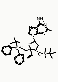 C=C[C@]1(CO[Si](c2ccccc2)(c2ccccc2)C(C)(C)C)O[C@@H](n2cnc3c(N)nc(F)nc32)C[C@@H]1O[Si](C)(C)C(C)(C)C